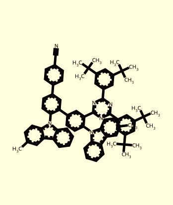 Cc1ccc2c(c1)c1ccccc1n2-c1ccc(-c2ccc(C#N)cc2)cc1-c1ccc(-n2c3ccccc3c3cc(C)ccc32)c(-c2nc(-c3cc(C(C)(C)C)cc(C(C)(C)C)c3)nc(-c3cc(C(C)(C)C)cc(C(C)(C)C)c3)n2)c1